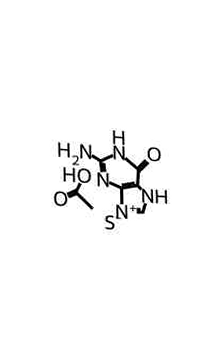 CC(=O)O.Nc1nc2c([nH]c[n+]2[S-])c(=O)[nH]1